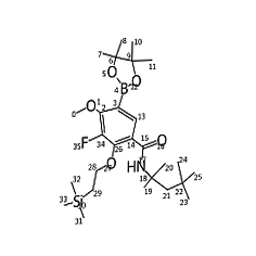 COc1c(B2OC(C)(C)C(C)(C)O2)cc(C(=O)NC(C)(C)CC(C)(C)C)c(OCC[Si](C)(C)C)c1F